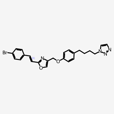 Brc1ccc(/C=C/c2nc(COc3ccc(CCCCn4ccnn4)cc3)co2)cc1